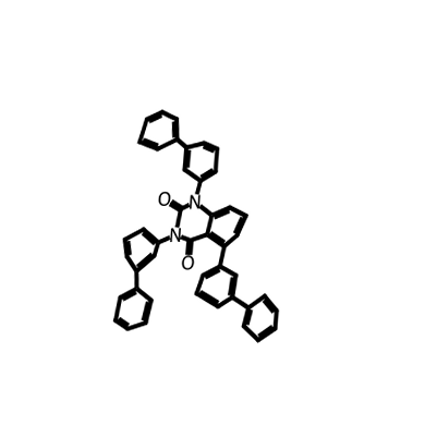 O=c1c2c(-c3cccc(-c4ccccc4)c3)cccc2n(-c2cccc(-c3ccccc3)c2)c(=O)n1-c1cccc(-c2ccccc2)c1